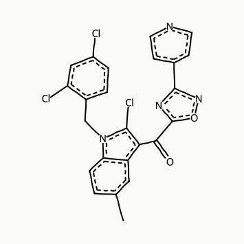 Cc1ccc2c(c1)c(C(=O)c1nc(-c3ccncc3)no1)c(Cl)n2Cc1ccc(Cl)cc1Cl